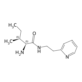 CC[C@H](C)[C@H](N)C(=O)NCCc1ccccn1